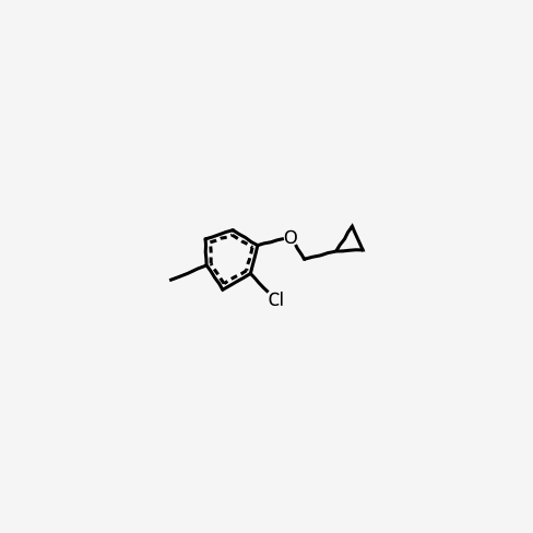 Cc1ccc(OCC2CC2)c(Cl)c1